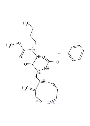 C=C1/C=C\C=C/CS/C=C\1C[C@H](NC(=O)OCc1ccccc1)C(=O)N[C@@H](CCCC)C(=O)OC